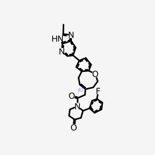 Cc1nc2cc(-c3ccc4c(c3)C/C=C(/CC(=O)N3CCC(=O)CC3c3cccc(F)c3)CCO4)cnc2[nH]1